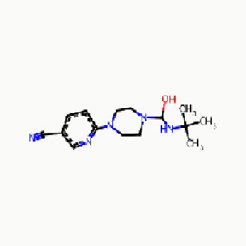 CC(C)(C)NC(O)N1CCN(c2ccc(C#N)cn2)CC1